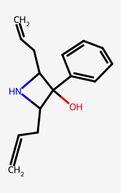 C=CCC1NC(CC=C)C1(O)c1ccccc1